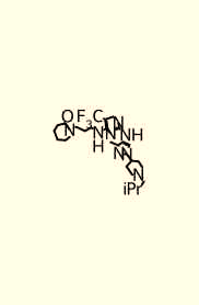 Cc1nn(C2CCN(CC(C)C)CC2)cc1Nc1ncc(C(F)(F)F)c(NCCCN2CCCCCC2=O)n1